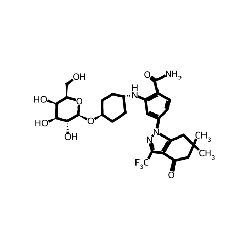 CC1(C)CC(=O)c2c(C(F)(F)F)nn(-c3ccc(C(N)=O)c(N[C@H]4CC[C@H](O[C@@H]5O[C@H](CO)[C@H](O)[C@H](O)[C@H]5O)CC4)c3)c2C1